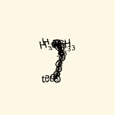 CC(C)(C)OC(=O)COCCOCCOCCOc1ccc(B2OC(C)(C)C(C)(C)O2)cc1